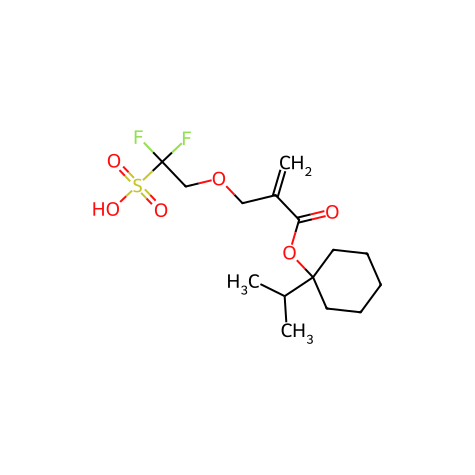 C=C(COCC(F)(F)S(=O)(=O)O)C(=O)OC1(C(C)C)CCCCC1